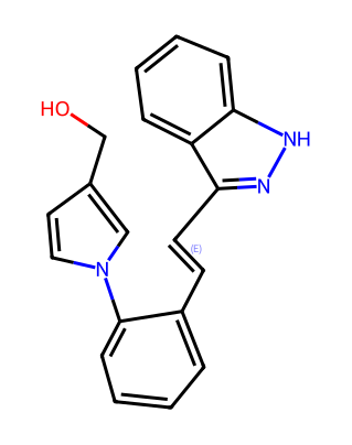 OCc1ccn(-c2ccccc2/C=C/c2n[nH]c3ccccc23)c1